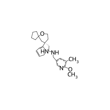 COc1ncc(CNCC[C@@]2(C3=CC=CCN3)CCOC3(CCCC3)C2)cc1C